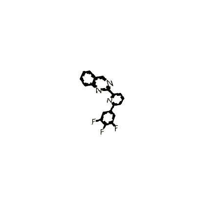 Fc1cc(-c2cccc(-c3ncc4ccccc4n3)n2)cc(F)c1F